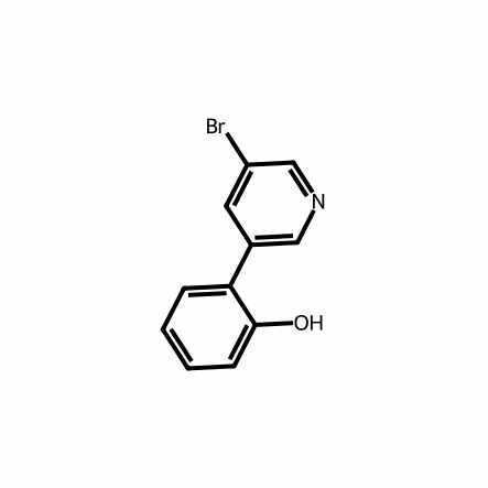 Oc1ccccc1-c1cncc(Br)c1